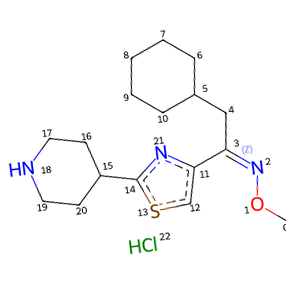 CO/N=C(/CC1CCCCC1)c1csc(C2CCNCC2)n1.Cl